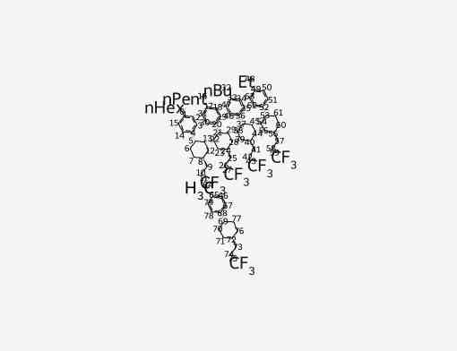 CCCCCCc1ccc([C@H]2CC[C@H](CCC(F)(F)F)CC2)cc1.CCCCCc1ccc([C@H]2CC[C@H](CCC(F)(F)F)CC2)cc1.CCCCc1ccc([C@H]2CC[C@H](CCC(F)(F)F)CC2)cc1.CCc1ccc([C@H]2CC[C@H](CCC(F)(F)F)CC2)cc1.Cc1ccc([C@H]2CC[C@H](CCC(F)(F)F)CC2)cc1